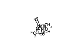 C[C@H]1CC[C@]2(CC(=O)N(Cc3ccc4scnc4c3)O2)[C@H]2CN1C(=O)c1c(O)c(=O)c(C(=O)NCc3c(F)cc(F)cc3F)cn12